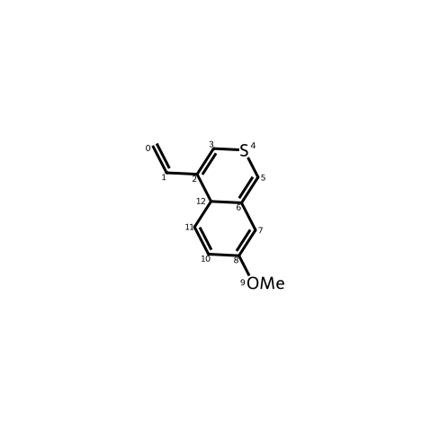 C=CC1=CSC=C2C=C(OC)C=CC12